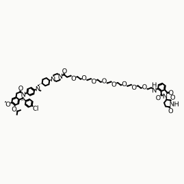 COc1cc2c(cc1OC(C)C)[C@H](c1ccc(Cl)cc1)N(c1ccc(N(C)C[C@H]3CC[C@H](N4CCN(C(=O)CCOCCOCCOCCOCCOCCOCCOCCOCCNc5cccc6c5C(=O)N(C5CCC(=O)NC5=O)C6=O)CC4)CC3)cc1)C(=O)C2